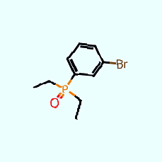 CCP(=O)(CC)c1cccc(Br)c1